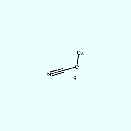 N#C[O][Cu].[S]